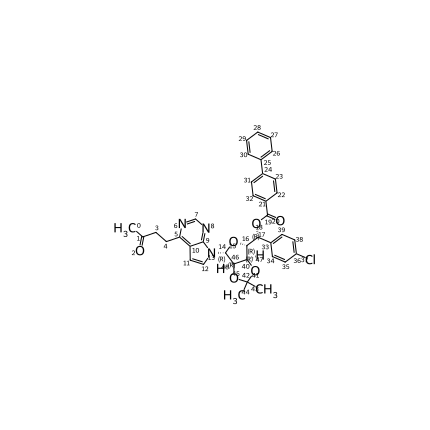 CC(=O)CCc1ncnc2c1ccn2[C@@H]1O[C@H]([C@H](OC(=O)c2ccc(-c3ccccc3)cc2)c2ccc(Cl)cc2)[C@H]2OC(C)(C)O[C@H]21